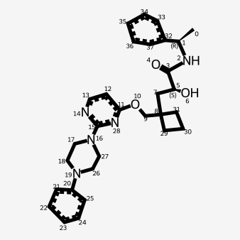 C[C@@H](NC(=O)[C@@H](O)CC1(COc2ccnc(N3CCN(c4ccccc4)CC3)n2)CCC1)c1ccccc1